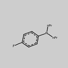 CCCN(CCC)c1ccc(F)cc1